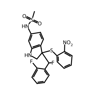 CS(=O)(=O)Nc1ccc2c(c1)NCC2(Sc1ccccc1[N+](=O)[O-])C(F)c1ccccc1F